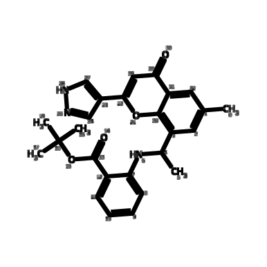 Cc1cc(C(C)Nc2ccccc2C(=O)OC(C)(C)C)c2oc(-c3cn[nH]c3)cc(=O)c2c1